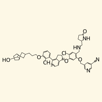 Cc1c(OCCCC2CC3(C2)C2CCC3CC(O)C2)cccc1-c1cccc2c1CC[C@@H]2Oc1cc(OCc2cncc(C#N)c2)c(CNCC2CCC(=O)N2)cc1Cl